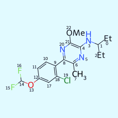 CCC(CC)Nc1nc(C)c(-c2ccc(OC(F)F)cc2Cl)nc1OC